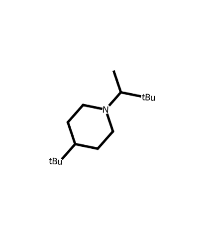 CC(N1CCC(C(C)(C)C)CC1)C(C)(C)C